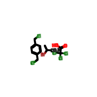 CC(Br)C(=O)O.ClCc1ccc(CCl)cc1.O=C(O)C(Cl)(Cl)Cl